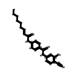 CCCCCC/C=C/C(=O)Oc1ccc(C(=O)Oc2ccc(C#N)c(F)c2)cc1